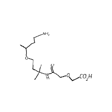 CC(CCN)OCCC(C)(C)NC(=O)COCC(=O)O